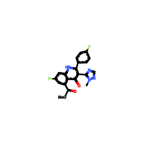 COC(=O)c1cc(F)cc2[nH]c(-c3ccc(F)cc3)c(-c3ncnn3C)c(=O)c12